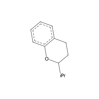 CC(C)C1CCc2ccccc2O1